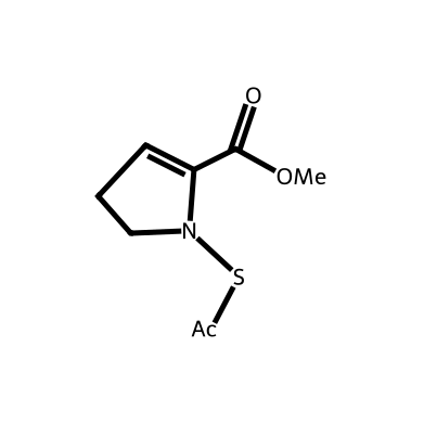 COC(=O)C1=CCCN1SC(C)=O